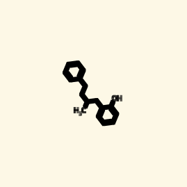 CC(CCc1ccccc1)Cc1ccccc1O